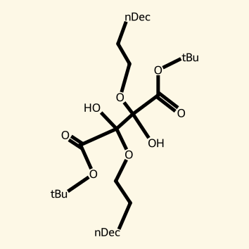 CCCCCCCCCCCCOC(O)(C(=O)OC(C)(C)C)C(O)(OCCCCCCCCCCCC)C(=O)OC(C)(C)C